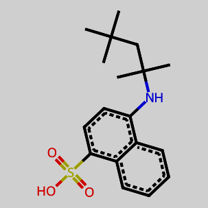 CC(C)(C)CC(C)(C)Nc1ccc(S(=O)(=O)O)c2ccccc12